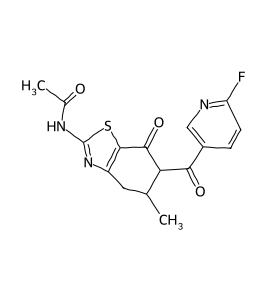 CC(=O)Nc1nc2c(s1)C(=O)C(C(=O)c1ccc(F)nc1)C(C)C2